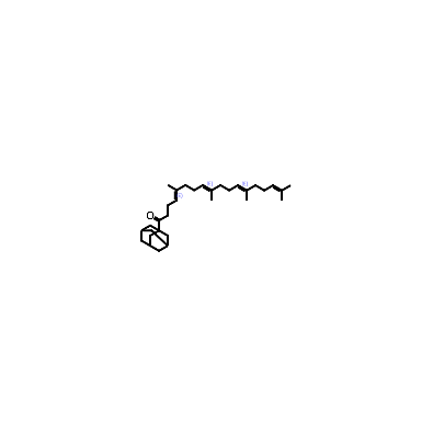 CC(C)=CCC/C(C)=C/CC/C(C)=C/CC/C(C)=C/CCC(=O)C12CC3CC(CC(C3)C1)C2